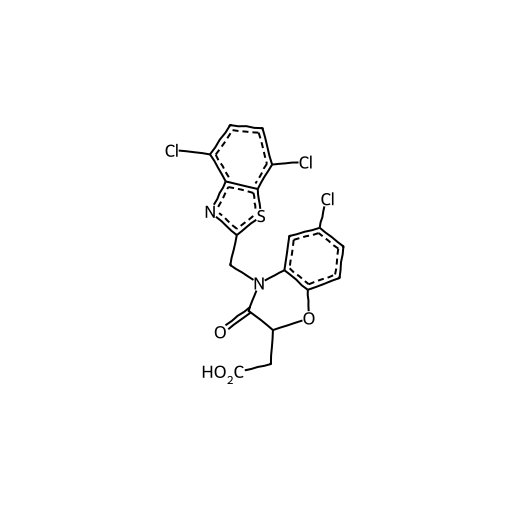 O=C(O)CC1Oc2ccc(Cl)cc2N(Cc2nc3c(Cl)ccc(Cl)c3s2)C1=O